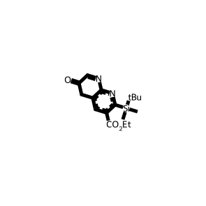 CCOC(=O)c1cc2c(nc1[Si](C)(C)C(C)(C)C)N=CC(=O)C2